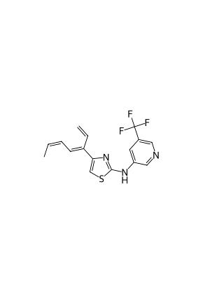 C=C/C(=C\C=C/C)c1csc(Nc2cncc(C(F)(F)F)c2)n1